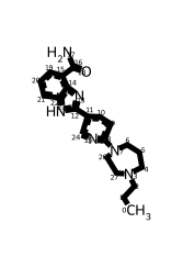 CCCN1CCCN(c2ccc(-c3nc4c(C(N)=O)cccc4[nH]3)cn2)CC1